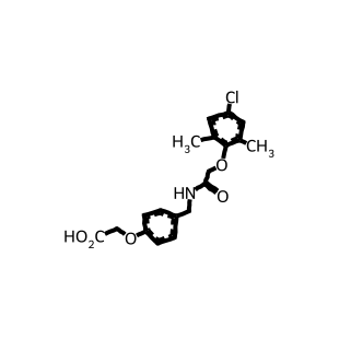 Cc1cc(Cl)cc(C)c1OCC(=O)NCc1ccc(OCC(=O)O)cc1